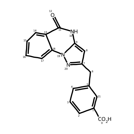 O=C(O)c1cccc(Cc2cc3[nH]c(=O)c4ccccc4n3n2)c1